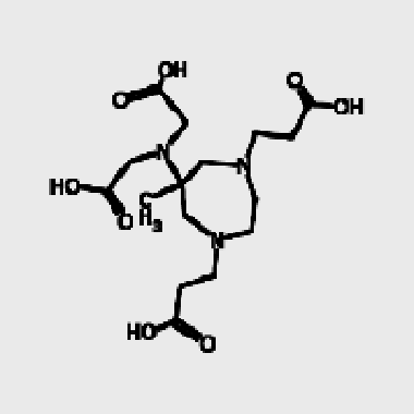 CC1(N(CC(=O)O)CC(=O)O)CN(CCC(=O)O)CCN(CCC(=O)O)C1